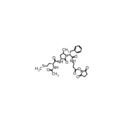 CSCC[C@H](NC(C)=O)C(=O)N[C@H]1CC(C)N([C@@H](Cc2ccccc2)C(=O)NCCC(=O)ON2C(=O)CCC2=O)C1=O